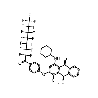 Nc1c(Oc2ccc(C(=O)C(F)(F)C(F)(F)C(F)(F)C(F)(F)C(F)(F)C(F)(F)C(F)(F)F)cc2)cc(NC2CCCCC2)c2c1C(=O)c1ccccc1C2=O